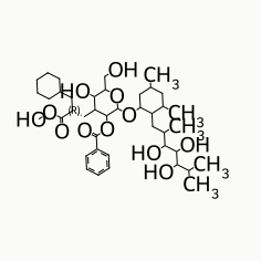 CC1CC(C)C(CC(C)C(O)C(O)C(O)C(C)C)C(OC2OC(CO)C(O)C(C[C@@H](CC3CCCCC3)C(=O)OO)C2OC(=O)c2ccccc2)C1